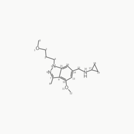 COCCCn1nc(C)c2c(OC)cc(CNC3CC3)cc21